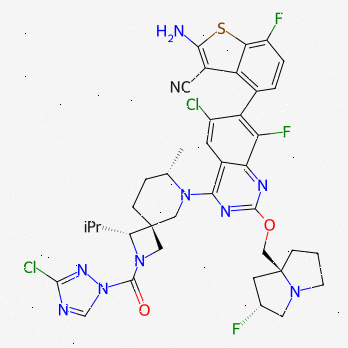 CC(C)[C@H]1N(C(=O)n2cnc(Cl)n2)C[C@]12CC[C@H](C)N(c1nc(OC[C@@]34CCCN3C[C@H](F)C4)nc3c(F)c(-c4ccc(F)c5sc(N)c(C#N)c45)c(Cl)cc13)C2